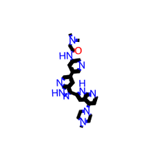 CN(C)CC(=O)Nc1cncc(-c2cnc3[nH]nc(-c4cc5c(N6CCN(C)CC6)ccnc5[nH]4)c3c2)c1